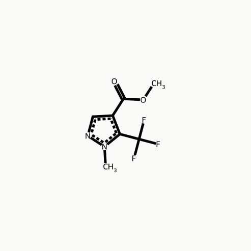 COC(=O)c1cnn(C)c1C(F)(F)F